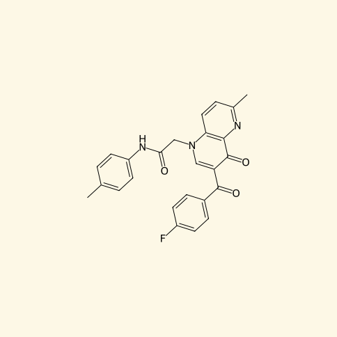 Cc1ccc(NC(=O)Cn2cc(C(=O)c3ccc(F)cc3)c(=O)c3nc(C)ccc32)cc1